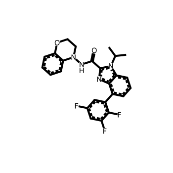 CC(C)n1c(C(=O)NN2CCOc3ccccc32)nc2c(-c3cc(F)cc(F)c3F)cccc21